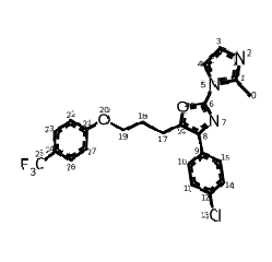 Cc1nccn1-c1nc(-c2ccc(Cl)cc2)c(CCCOc2ccc(C(F)(F)F)cc2)o1